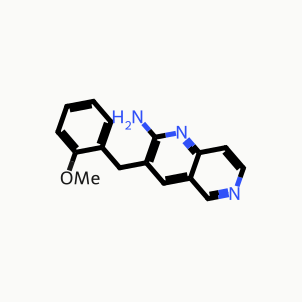 COc1ccccc1Cc1cc2cnccc2nc1N